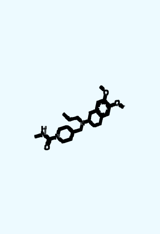 CCCN(CC1CCN(C(=O)NC)CC1)C1CCc2cc(OC)c(OC)cc2C1